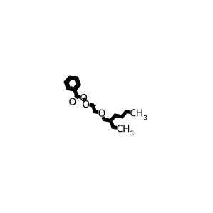 CCCCC(CC)COC[CH]OOC(=O)c1ccccc1